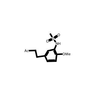 COc1ccc(CCC(C)=O)cc1NS(C)(=O)=O